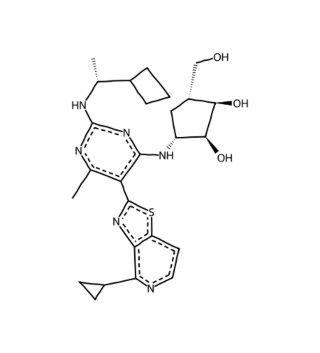 Cc1nc(N[C@H](C)C2CCC2)nc(N[C@@H]2C[C@H](CO)[C@@H](O)[C@H]2O)c1-c1nc2c(C3CC3)nccc2s1